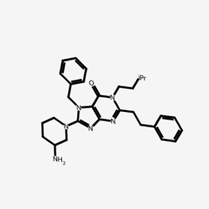 CC(C)CCn1c(CCc2ccccc2)nc2nc(N3CCCC(N)C3)n(Cc3ccccc3)c2c1=O